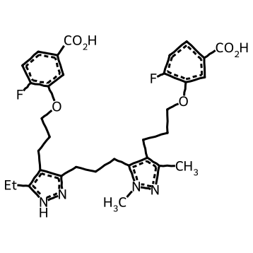 CCc1[nH]nc(CCCc2c(CCCOc3cc(C(=O)O)ccc3F)c(C)nn2C)c1CCCOc1cc(C(=O)O)ccc1F